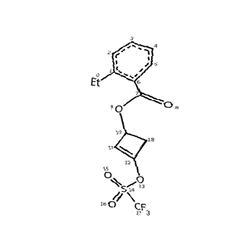 CCc1ccccc1C(=O)OC1C=C(OS(=O)(=O)C(F)(F)F)C1